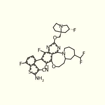 N#Cc1c(N)sc2c(F)ccc(-c3c(Cl)c4c5c(nc(OC[C@@]67CCCN6C[C@H](F)C7)nc5c3F)N3CCCC(C(F)F)CC3CCO4)c12